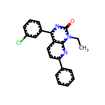 CCn1c(=O)nc(-c2cccc(Cl)c2)c2ccc(-c3ccccc3)nc21